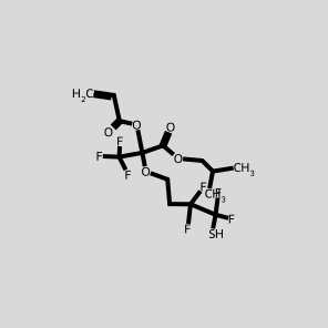 C=CC(=O)OC(OCCC(F)(F)C(F)(F)S)(C(=O)OCC(C)C)C(F)(F)F